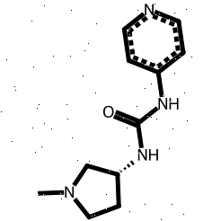 CN1CC[C@@H](NC(=O)Nc2ccncc2)C1